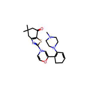 CN1CCN(C2=C(C3=CN(c4nc5c(s4)C(=O)CC(C)(C)C5)C=CO3)CCC=C2)CC1